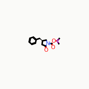 CI(C)OC(=O)N1C[C@H](Cc2ccccc2)CC1=O